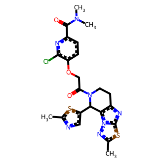 Cc1ncc(C2c3c(nc4sc(C)nn34)CCN2C(=O)COc2ccc(C(=O)N(C)C)nc2Cl)s1